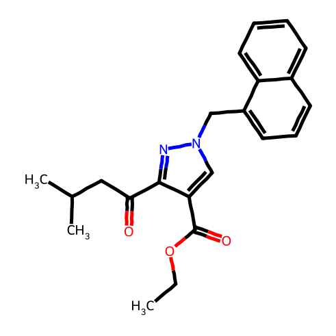 CCOC(=O)c1cn(Cc2cccc3ccccc23)nc1C(=O)CC(C)C